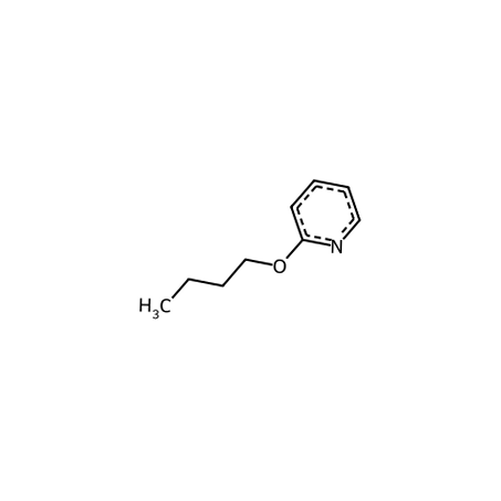 CCCCOc1ccccn1